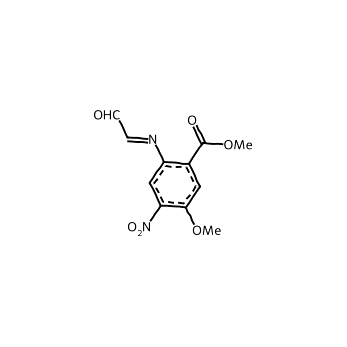 COC(=O)c1cc(OC)c([N+](=O)[O-])cc1N=CC=O